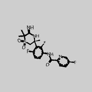 CC1(C)C(=N)N[C@](C)(c2c(F)ccc(NC(=O)c3ccc(F)cn3)c2F)CS1(=O)=O